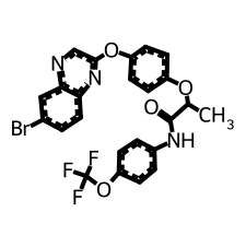 CC(Oc1ccc(Oc2cnc3cc(Br)ccc3n2)cc1)C(=O)Nc1ccc(OC(F)(F)F)cc1